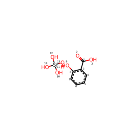 O=C(O)c1ccccc1O.O[Si](O)(O)O